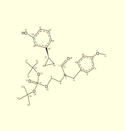 COc1ccc(CN(CCOP(=O)(OC(C)(C)C)OC(C)(C)C)C(=O)[C@@H]2C[C@H]2c2cccc(O)c2)cc1